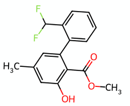 COC(=O)c1c(O)cc(C)cc1-c1ccccc1C(F)F